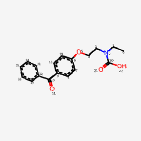 CCN(CCOc1ccc(C(=O)c2ccccc2)cc1)C(=O)O